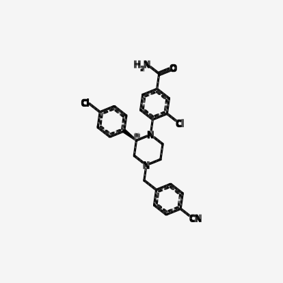 N#Cc1ccc(CN2CCN(c3ccc(C(N)=O)cc3Cl)[C@H](c3ccc(Cl)cc3)C2)cc1